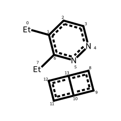 CCc1ccnnc1CC.c1cc2ccc1-2